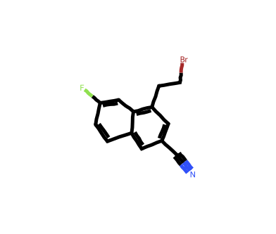 N#Cc1cc(CCBr)c2cc(F)ccc2c1